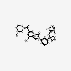 CC(c1cc(C(F)(F)F)c2cn(-c3cccc(C4(Cc5nncn5C)COC4)c3)c(=O)n2c1)N1CCC[C@H](C)C1